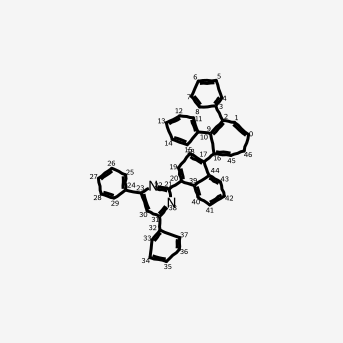 C1=CC(c2ccccc2)=C(c2ccccc2)C(c2ccc(-c3nc(-c4ccccc4)cc(-c4ccccc4)n3)c3ccccc23)=CC1